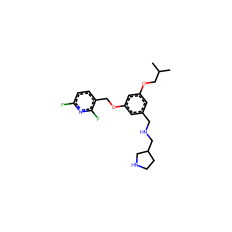 CC(C)COc1cc(CNCC2CCNC2)cc(OCc2ccc(F)nc2F)c1